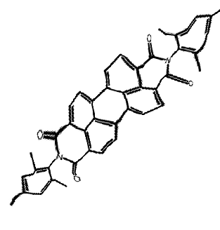 Cc1cc(C)c(N2C(=O)c3ccc4c5ccc6c7c(ccc(c8ccc(c3c48)C2=O)c75)C(=O)N(c2c(C)cc(C)cc2C)C6=O)c(C)c1